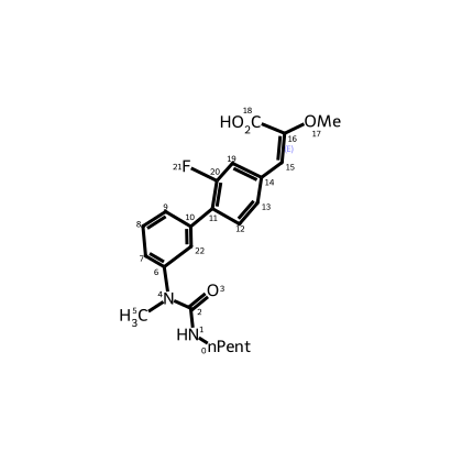 CCCCCNC(=O)N(C)c1cccc(-c2ccc(/C=C(/OC)C(=O)O)cc2F)c1